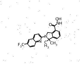 CC1(C)c2cccc(C(=O)NO)c2CN1c1ccc2cc(C(F)(F)F)ccc2n1